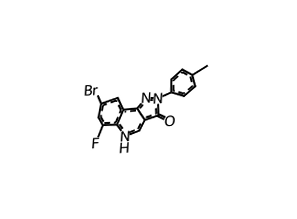 Cc1ccc(-n2nc3c4cc(Br)cc(F)c4[nH]cc-3c2=O)cc1